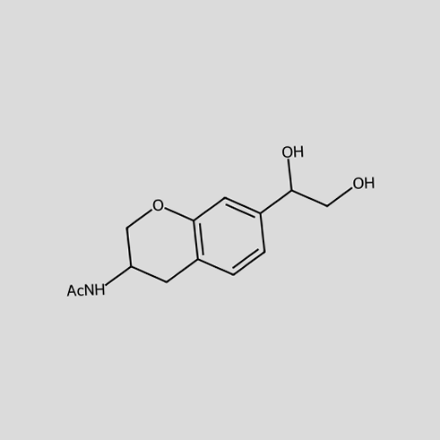 CC(=O)NC1COc2cc(C(O)CO)ccc2C1